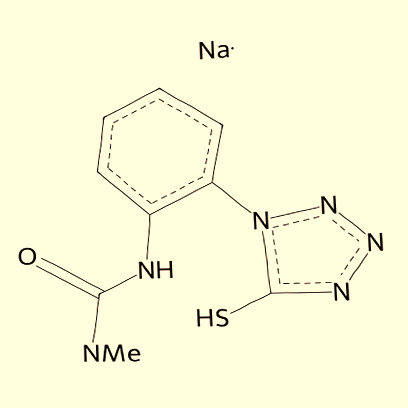 CNC(=O)Nc1ccccc1-n1nnnc1S.[Na]